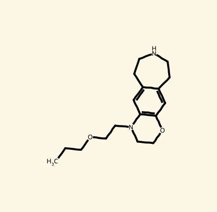 CCCOCCN1CCOc2cc3c(cc21)CCNCC3